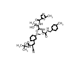 Cc1ccc(CNC(=O)[C@H](COc2cccc(C=C(C#N)C(=O)NC(C)(C)C)c2)NC(=O)[C@@H](NC(=O)c2cnc(C)s2)[C@@H](C)O)cc1